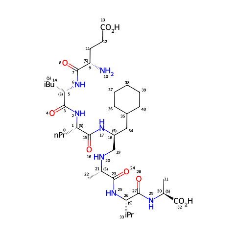 CCC[C@H](NC(=O)[C@@H](NC(=O)[C@@H](N)CCC(=O)O)[C@@H](C)CC)C(=O)N[C@H](CN[C@@H](C)C(=O)N[C@H](C(=O)N[C@@H](C)C(=O)O)C(C)C)CC1CCCCC1